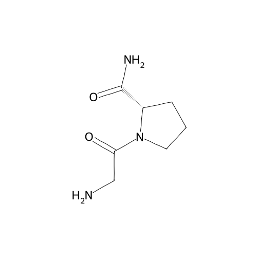 NCC(=O)N1CCC[C@H]1C(N)=O